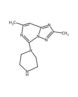 Cc1cc2nc(C)nn2c(N2CCNCC2)n1